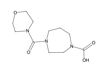 O=C(O)N1CCCN(C(=O)N2CCOCC2)CC1